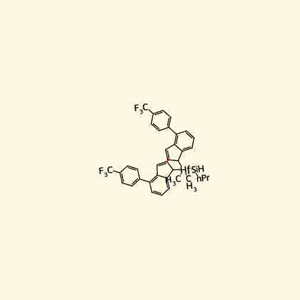 CCC[SiH]=[Hf]([CH3])([CH3])([CH]1C=Cc2c(-c3ccc(C(F)(F)F)cc3)cccc21)[CH]1C=Cc2c(-c3ccc(C(F)(F)F)cc3)cccc21